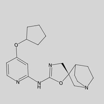 c1cc(OC2CCCC2)cc(NC2=NC[C@@]3(CN4CCC3CC4)O2)n1